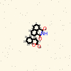 O=C1NC(=O)c2cccc3cccc1c23.O=c1ccc2ccccc2o1